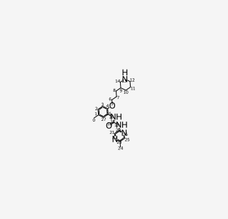 Cc1ccc(OCCCC2CCCNC2)c(NC(=O)Nc2cnc(C)cn2)c1